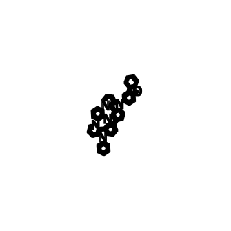 C1=Cc2oc3ccc(-n4c5cccnc5c5c4ccc4c6ccc7c(c8ncccc8n7-c7ccccc7)c6n(-c6ccccc6)c45)cc3c2CC1